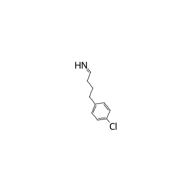 N=CCCCc1ccc(Cl)cc1